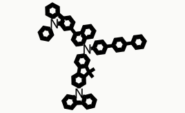 CC1(C)c2cc(N(c3ccc(-c4ccc(-c5ccccc5)cc4)cc3)c3ccc(-c4ccc5c6ccccc6n(-c6ccccc6)c5c4)c4ccccc34)ccc2-c2ccc(-n3c4ccccc4c4ccccc43)cc21